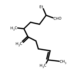 C=C(CCC=C(C)C)C(C)CCC(C=O)CC